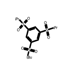 CC(C)S(=O)(=O)c1cc(S(=O)(=O)C(C)C)cc(S(=O)(=O)C(C)(C)C)c1